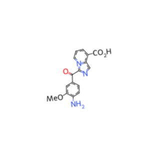 COc1cc(C(=O)c2ncc3c(C(=O)O)cccn23)ccc1N